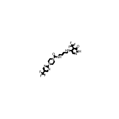 O=C(NCC=CCNc1cn[nH]c(=O)c1C(F)(F)F)N1CCN(c2ncc(C(F)(F)F)cn2)CC1